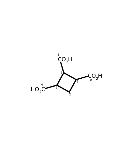 O=C(O)C1CC(C(=O)O)C1C(=O)O